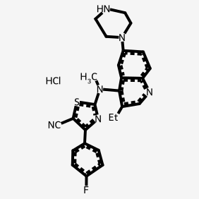 CCc1cnc2ccc(N3CCNCC3)cc2c1N(C)c1nc(-c2ccc(F)cc2)c(C#N)s1.Cl